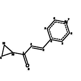 O=C(/C=C/c1ccncc1)C1CC1